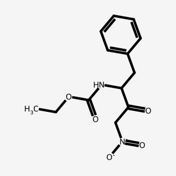 CCOC(=O)NC(Cc1ccccc1)C(=O)C[N+](=O)[O-]